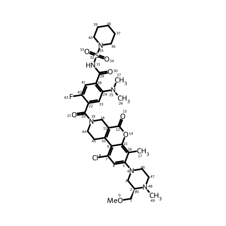 COC[C@H]1CN(c2cc(Cl)c3c4c(c(=O)oc3c2C)CN(C(=O)c2cc(N(C)C)c(C(=O)NS(=O)(=O)N3CCCCC3)cc2F)CC4)CCN1C